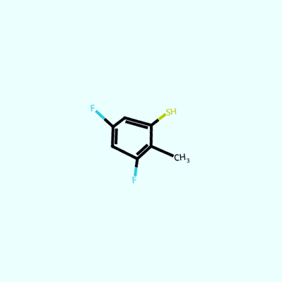 Cc1c(F)cc(F)cc1S